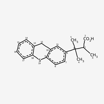 CC(C(=O)O)C(C)(C)c1ccc2c(c1)Cc1ccccc1S2